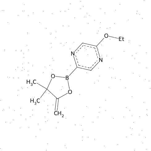 C=C1OB(c2cnc(OCC)cn2)OC1(C)C